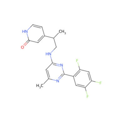 Cc1cc(NCC(C)c2cc[nH]c(=O)c2)nc(-c2cc(F)c(F)cc2F)n1